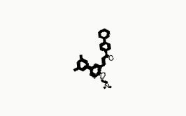 Cc1cc(C)cc(-c2ccc(OCCN(C)C)c(C=CC(=O)c3ccc(C4CCCCC4)cc3)c2)c1